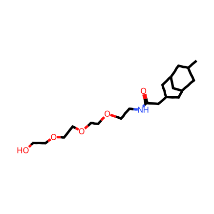 CC1CC2CC(CC(=O)NCCOCCOCCOCCO)CC(C1)C2